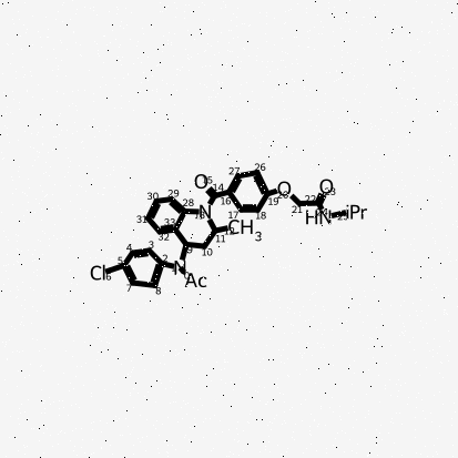 CC(=O)N(c1ccc(Cl)cc1)C1CC(C)N(C(=O)c2ccc(OCC(=O)NC(C)C)cc2)c2ccccc21